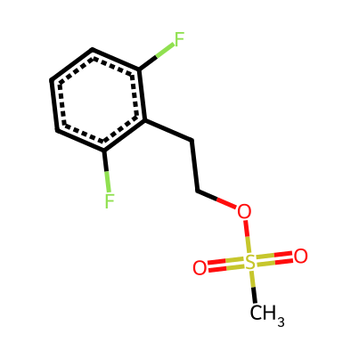 CS(=O)(=O)OCCc1c(F)cccc1F